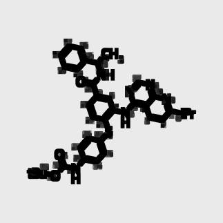 CC(C)c1ccc2c(Nc3cc(C(=O)N[C@H](C)c4ccccc4)ccc3Sc3ccc(NC(=O)OC(C)(C)C)cc3)ncnc2n1